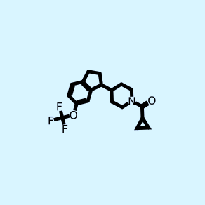 O=C(C1CC1)N1CCC(C2CCc3ccc(OC(F)(F)F)cc32)CC1